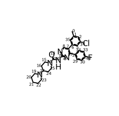 Cc1cc(Cl)cc(-c2cnc(NC(=O)N3CCC(N4CCCCC4)CC3)nc2-c2ccc(F)cc2)c1